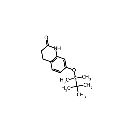 CC(C)(C)[Si](C)(C)Oc1ccc2c(c1)NC(=O)CC2